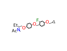 CCC(COc1ccc(OCc2ccc(OCC3CC3)cc2F)cc1)N(C)C(C)=O